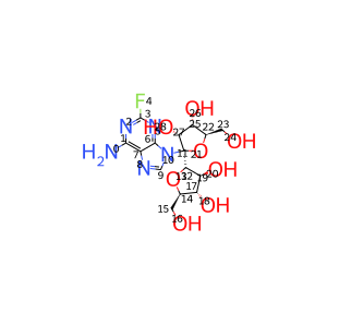 Nc1nc(F)nc2c1ncn2[C@]1(C2O[C@H](CO)[C@@H](O)[C@@H]2O)O[C@H](CO)[C@@H](O)[C@H]1O